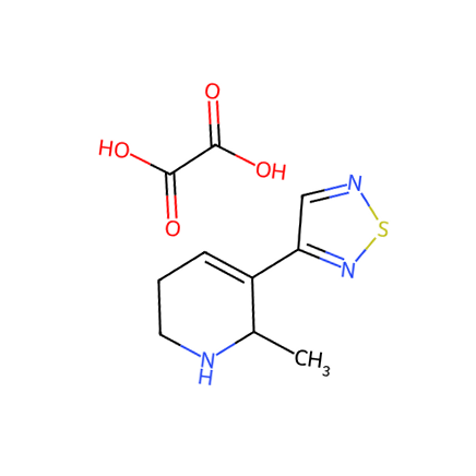 CC1NCCC=C1c1cnsn1.O=C(O)C(=O)O